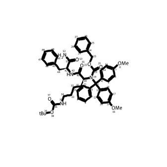 COc1ccc(C(c2ccccc2)(c2ccc(OC)cc2)N(C(=O)OCc2ccccc2)[C@@H](CCCCNC(=O)OC(C)(C)C)C(=O)N[C@@H](Cc2ccccc2)C(N)=O)cc1